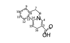 O=C(O)C1=CN2CCc3ccccc3C2=CC1